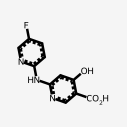 O=C(O)c1cnc(Nc2ccc(F)cn2)cc1O